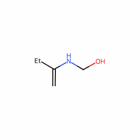 C=C(CC)NCO